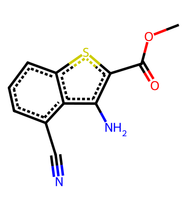 COC(=O)c1sc2cccc(C#N)c2c1N